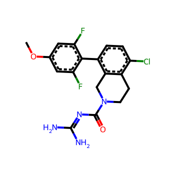 COc1cc(F)c(-c2ccc(Cl)c3c2CN(C(=O)N=C(N)N)CC3)c(F)c1